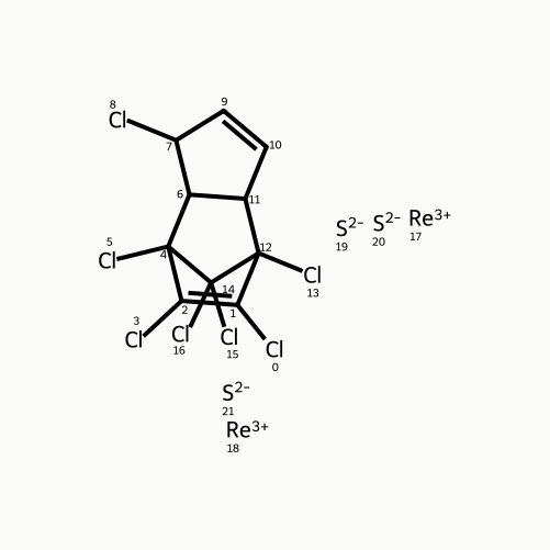 ClC1=C(Cl)C2(Cl)C3C(Cl)C=CC3C1(Cl)C2(Cl)Cl.[Re+3].[Re+3].[S-2].[S-2].[S-2]